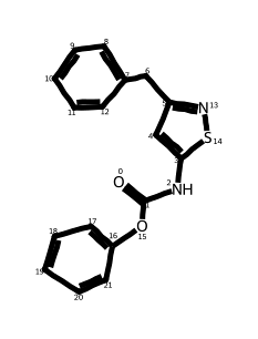 O=C(Nc1cc(Cc2ccccc2)ns1)Oc1ccccc1